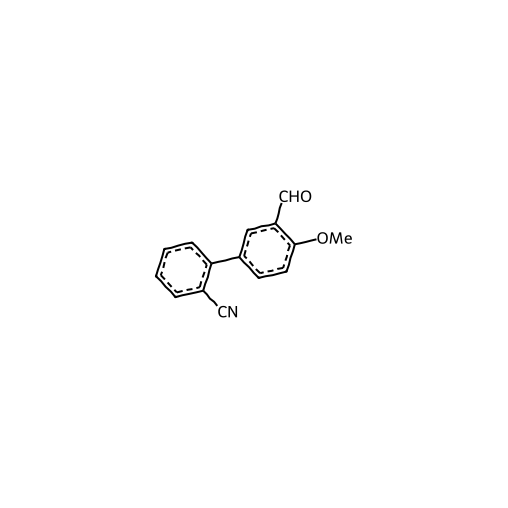 COc1ccc(-c2ccccc2C#N)cc1C=O